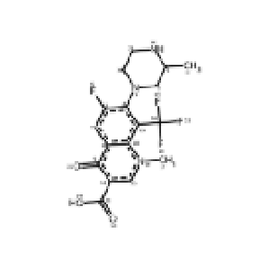 CC1CN(c2c(F)cc3c(=O)c(C(=O)O)cn(C)c3c2C(F)(F)F)CCN1